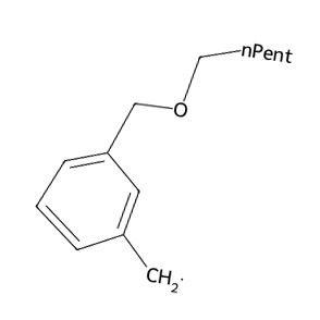 [CH2]c1cccc(COCCCCCC)c1